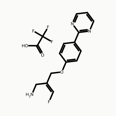 NCC(=CF)COc1ccc(-c2ncccn2)cc1.O=C(O)C(F)(F)F